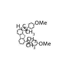 COc1ccc([Si](C)(C)c2cccc3c2Cc2c-3cccc2[Si](C)(C)c2ccc(OC)cc2)cc1